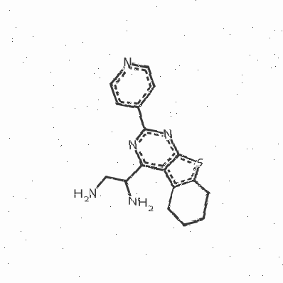 NCC(N)c1nc(-c2ccncc2)nc2sc3c(c12)CCCC3